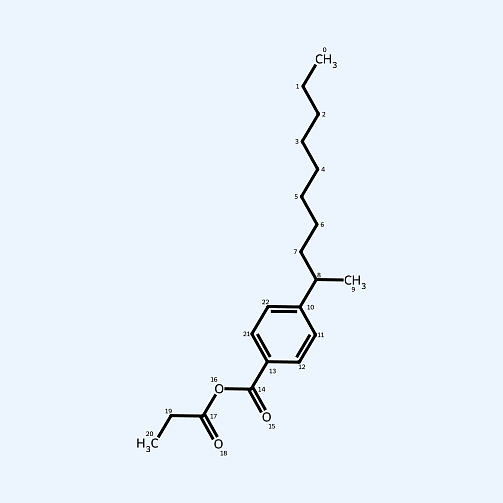 CCCCCCCCC(C)c1ccc(C(=O)OC(=O)CC)cc1